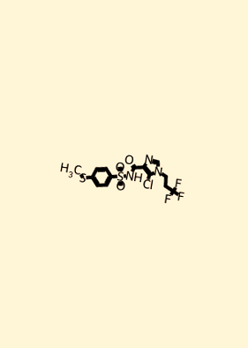 CSc1ccc(S(=O)(=O)NC(=O)c2ncn(CCC(F)(F)F)c2Cl)cc1